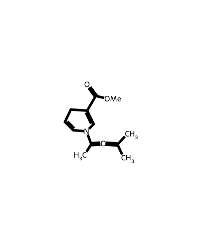 COC(=O)C1=CN(C(C)=C=C(C)C)C=CC1